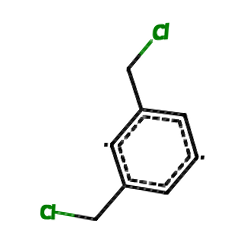 ClCc1[c]c(CCl)c[c]c1